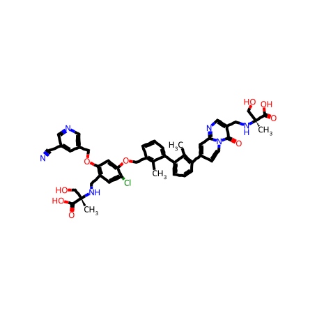 Cc1c(COc2cc(OCc3cncc(C#N)c3)c(CN[C@@](C)(CO)C(=O)O)cc2Cl)cccc1-c1cccc(-c2ccn3c(=O)c(CN[C@@](C)(CO)C(=O)O)cnc3c2)c1C